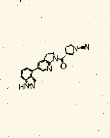 N#CN1CC[C@H](C(=O)N2CCc3cc(-c4cccc5[nH]ncc45)cnc32)C1